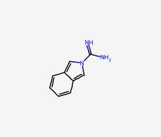 N=C(N)n1cc2ccccc2c1